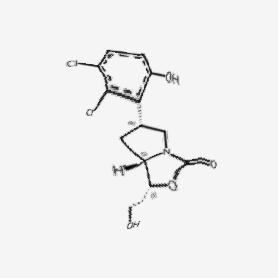 O=C1O[C@H](CO)[C@@H]2C[C@H](c3c(O)ccc(Cl)c3Cl)CN12